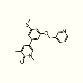 CSc1cc(OCc2cccnc2)cc(-c2cc(C)c(=O)n(C)c2)c1